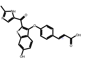 Cc1ncc(C(=O)c2sc3cc(O)ccc3c2Oc2ccc(/C=C/C(=O)O)cc2)[nH]1